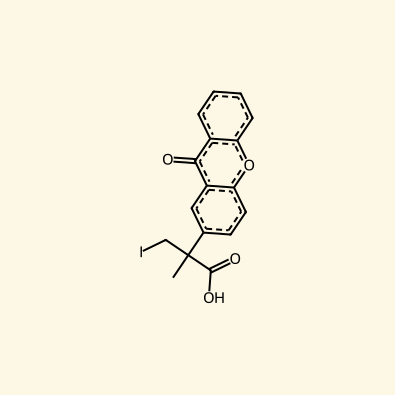 CC(CI)(C(=O)O)c1ccc2oc3ccccc3c(=O)c2c1